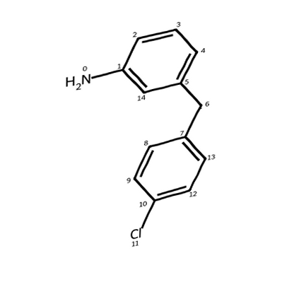 Nc1cccc([CH]c2ccc(Cl)cc2)c1